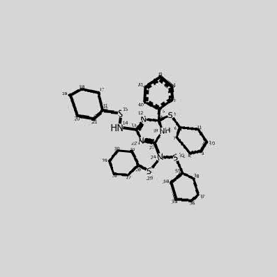 c1ccc(C2(SC3CCCCC3)N=C(NSC3CCCCC3)N=C(N(SC3CCCCC3)SC3CCCCC3)N2)cc1